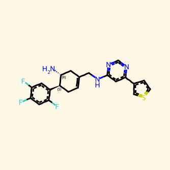 N[C@@H]1CC(CNc2cc(-c3ccsc3)ncn2)=CC[C@H]1c1cc(F)c(F)cc1F